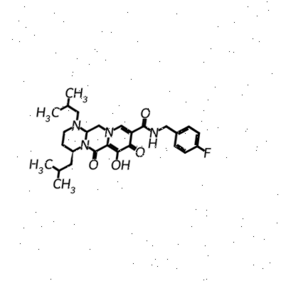 CC(C)C[C@H]1CCN(CC(C)C)C2Cn3cc(C(=O)NCc4ccc(F)cc4)c(=O)c(O)c3C(=O)N21